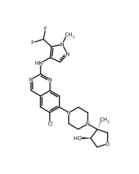 Cn1ncc(Nc2ncc3cc(Cl)c(N4CCN([C@@]5(C)COC[C@H]5O)CC4)cc3n2)c1C(F)F